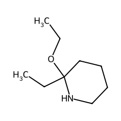 CCOC1(CC)CCCCN1